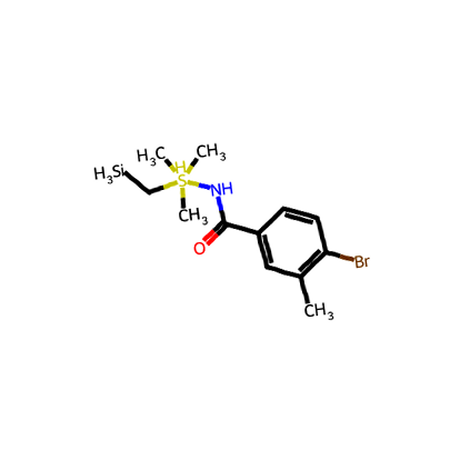 Cc1cc(C(=O)N[SH](C)(C)(C)C[SiH3])ccc1Br